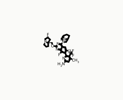 Cc1cc(N)nc(-c2c(Cl)cc3c(N4CC5CCC(C4)N5)nc(OC[C@@]45CCCN4C[C@H](F)C5)nc3c2F)c1C(F)(F)F